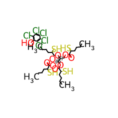 CCCCC(S)C(=O)OC[C@H](OC(=O)C(S)CCCC)[C@@H](COC(=O)C(S)CCCC)OC(=O)C(S)CCCC.Oc1c(Cl)c(Cl)c(Cl)c(Cl)c1Cl